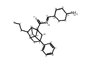 CCCC1C2CC3(c4ccccc4)CC1C(C(=S)/N=C/C1CCC(N)CC1)(C2)C3